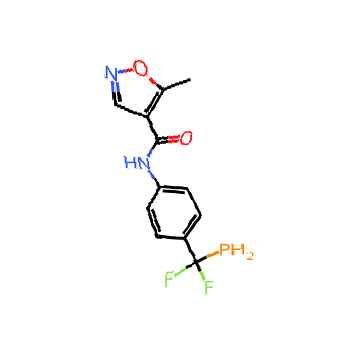 Cc1oncc1C(=O)Nc1ccc(C(F)(F)P)cc1